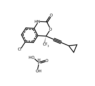 O=C1Nc2ccc(Cl)cc2[C@@](C#CC2CC2)(C(F)(F)F)O1.O=[PH](O)O